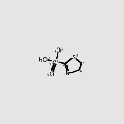 O=[As](O)(O)C1=NCCS1